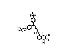 CC1(COc2ccc(C(=CC=CC(=O)Nc3cccc4c3CC(O)C(=O)N4)c3ccc(C(F)(F)F)cc3)cc2)COC1